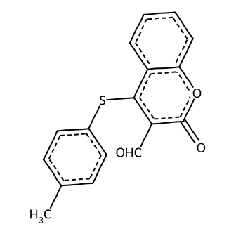 Cc1ccc(Sc2c(C=O)c(=O)oc3ccccc23)cc1